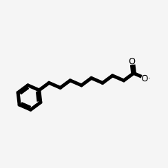 [O]C(=O)CCCCCCCCc1ccccc1